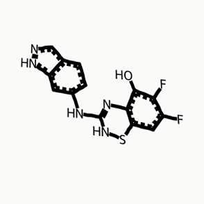 Oc1c(F)c(F)cc2c1N=C(Nc1ccc3cn[nH]c3c1)NS2